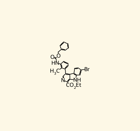 CCOC(=O)c1ncc(-c2cccc(NC(=O)OCc3ccccc3)c2C)c2c1[nH]c1cc(Br)ccc12